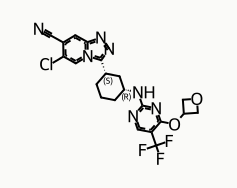 N#Cc1cc2nnc([C@H]3CCC[C@@H](Nc4ncc(C(F)(F)F)c(OC5COC5)n4)C3)n2cc1Cl